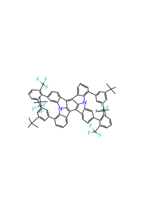 CC(C)(C)c1cc(-c2cccc3c4c5c6ccc(-c7c(C(F)(F)F)cccc7C(F)(F)F)cc6n6c7c(-c8cc(C(C)(C)C)cc(C(C)(C)C)c8)cccc7c(c7c8ccc(-c9c(C(F)(F)F)cccc9C(F)(F)F)cc8n(c23)c74)c56)cc(C(C)(C)C)c1